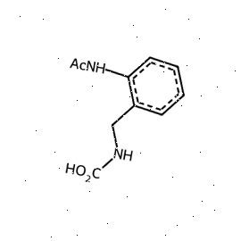 CC(=O)Nc1ccccc1CNC(=O)O